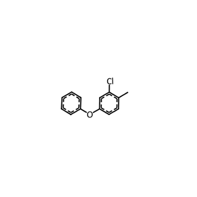 Cc1ccc(Oc2ccccc2)cc1Cl